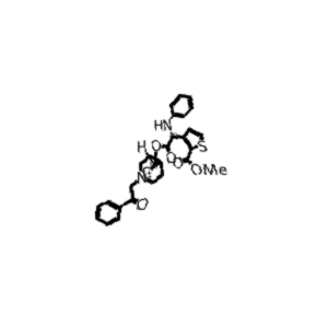 COC(=O)c1sccc1[C@@H](Nc1ccccc1)C(=O)O[C@H]1C[N+]2(CC(=O)c3ccccc3)CCC1CC2